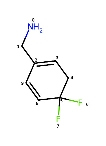 NCC1=CCC(F)(F)C=C1